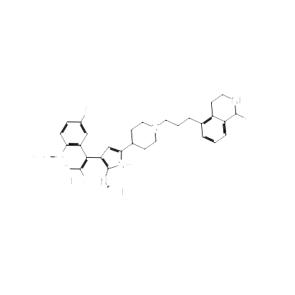 C=Nc1[nH]c(C2CCN(CCCc3cccc4c3CCNC4C)CC2)cc1/C(=C(\C)F)c1cc(F)ccc1OC